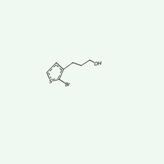 OCCCc1ccsc1Br